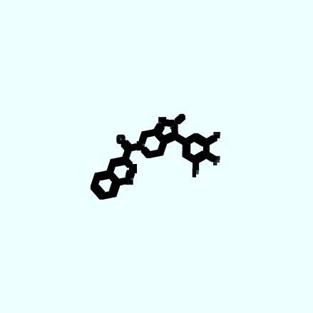 Cn1nc2c(c1-c1cc(F)c(F)c(F)c1)CCN(C(=O)c1cc3ccccc3nn1)C2